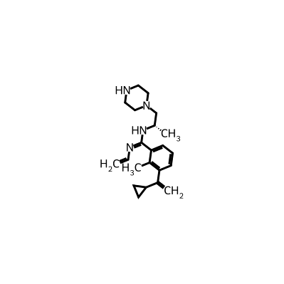 C=C/N=C(/N[C@@H](C)CN1CCNCC1)c1cccc(C(=C)C2CC2)c1C